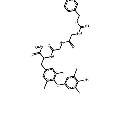 COC(=O)C(Cc1cc(I)c(Oc2cc(I)c(O)c(I)c2)c(I)c1)NC(=O)CNC(=O)CNC(=O)OCc1ccccc1